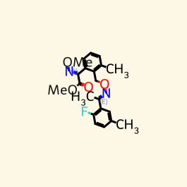 CO/N=C(/C(=O)OC)c1cccc(C)c1CO/N=C(\C)c1cc(C)ccc1F